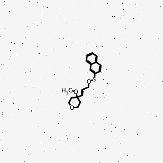 COC1(/C=C/COSc2ccc3ccccc3c2)CCOCC1